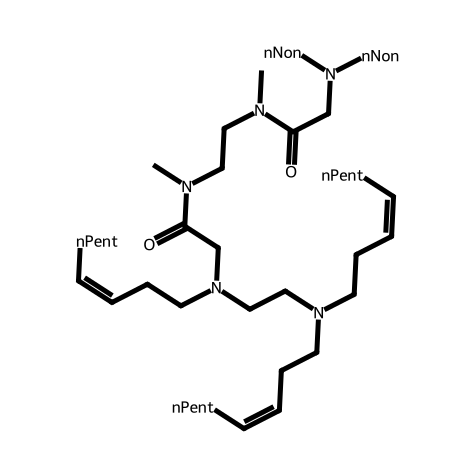 CCCCC/C=C\CCN(CC/C=C\CCCCC)CCN(CC/C=C\CCCCC)CC(=O)N(C)CCN(C)C(=O)CN(CCCCCCCCC)CCCCCCCCC